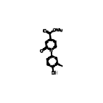 COC(=O)c1ccn(-c2ccc(O)c(C)c2)c(=O)c1